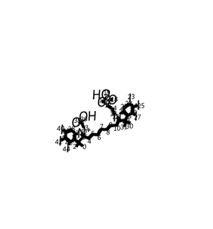 CC1(C)C(/C=C/C=C/C=C/C=C2\N(CCCS(=O)(=O)O)c3cc(I)c(I)c(I)c3C2(C)C)=[N+](CC(=O)O)c2cc(I)c(I)c(I)c21